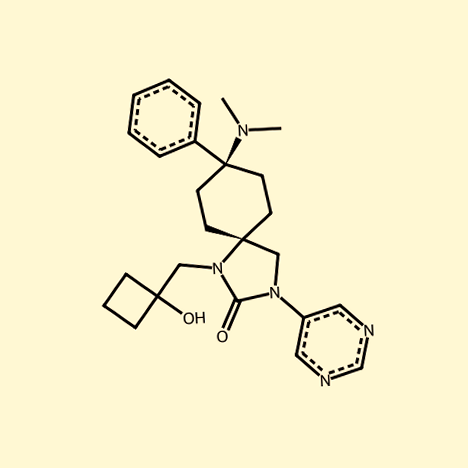 CN(C)[C@]1(c2ccccc2)CC[C@@]2(CC1)CN(c1cncnc1)C(=O)N2CC1(O)CCC1